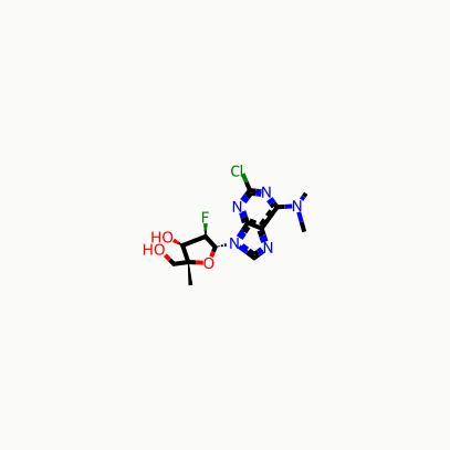 CN(C)c1nc(Cl)nc2c1ncn2[C@@H]1O[C@](C)(CO)[C@@H](O)[C@H]1F